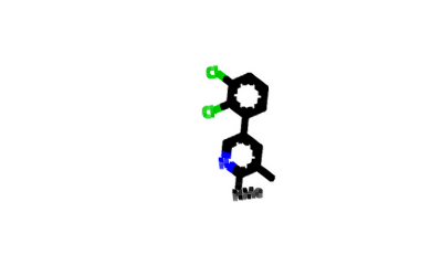 CNc1ncc(-c2cccc(Cl)c2Cl)cc1C